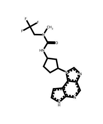 CN(CC(F)(F)F)C(=O)NC1CCC(n2cnc3cnc4[nH]ccc4c32)C1